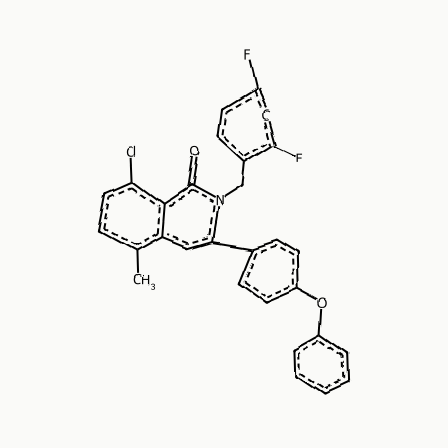 Cc1ccc(Cl)c2c(=O)n(Cc3ccc(F)cc3F)c(-c3ccc(Oc4ccccc4)cc3)cc12